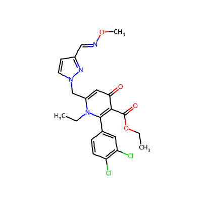 CCOC(=O)c1c(-c2ccc(Cl)c(Cl)c2)n(CC)c(Cn2ccc(C=NOC)n2)cc1=O